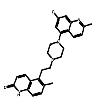 Cc1ccc2c(N3CCN(CCc4c(C)ccc5[nH]c(=O)ccc45)CC3)cc(F)cc2n1